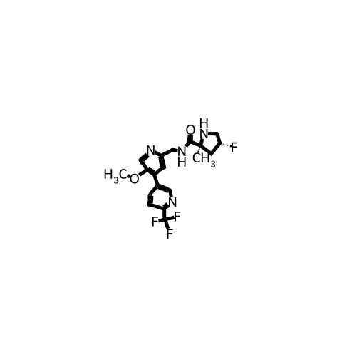 COc1cnc(CNC(=O)[C@]2(C)C[C@@H](F)CN2)cc1-c1ccc(C(F)(F)F)nc1